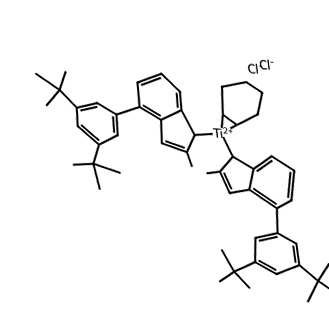 CC1=Cc2c(-c3cc(C(C)(C)C)cc(C(C)(C)C)c3)cccc2[CH]1[Ti+2]1([CH]2C(C)=Cc3c(-c4cc(C(C)(C)C)cc(C(C)(C)C)c4)cccc32)[CH]2CCCC[CH]21.[Cl-].[Cl-]